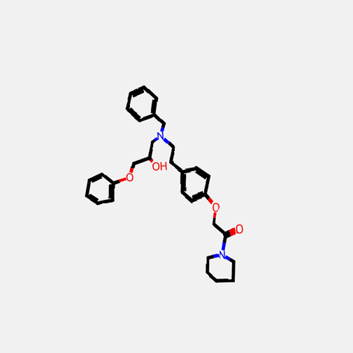 O=C(COc1ccc(CCN(Cc2ccccc2)CC(O)COc2ccccc2)cc1)N1CCCCC1